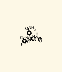 NC(=O)[C@H]1CC[C@H](n2c(Nc3c(Cl)cc(F)cc3Cl)nc3cnc(N[C@@H]4CCOC4)nc32)CC1